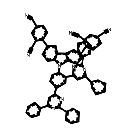 N#Cc1ccc(-c2ccc3c(c2)c2cc(-c4ccc(C#N)cc4C#N)ccc2n3-c2ccc(-c3cc(-c4ccccc4)nc(-c4ccccc4)n3)cc2-c2cc(-c3ccccc3)nc(-c3ccccc3)n2)c(C#N)c1